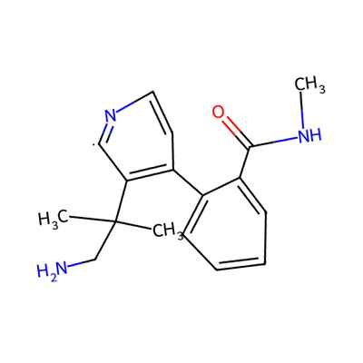 CNC(=O)c1ccccc1-c1ccn[c]c1C(C)(C)CN